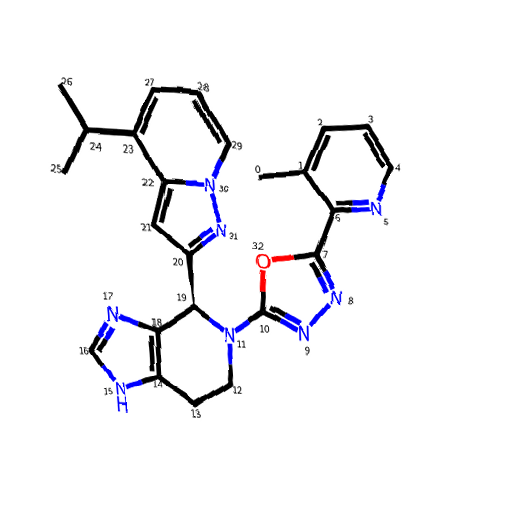 Cc1cccnc1-c1nnc(N2CCc3[nH]cnc3[C@H]2c2cc3c(C(C)C)cccn3n2)o1